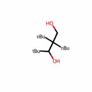 CCCCC(CO)(CCCC)C(O)C(C)(C)C